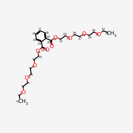 CCOCCOCCOCCOC(=O)c1ccccc1C(=O)OCCOCCOCCOCC